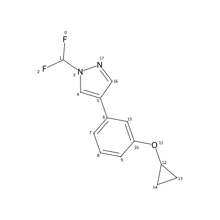 FC(F)n1cc(-c2cccc(OC3CC3)c2)cn1